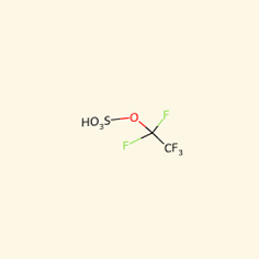 O=S(=O)(O)OC(F)(F)C(F)(F)F